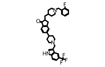 O=C1c2ccc(C3CCN(Cc4c[nH]c5ccc(C(F)(F)F)cc45)CC3)cc2CC1CC1CCN(Cc2ccccc2F)CC1